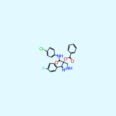 O=C(OC1(C(=O)Nc2ccc(Cl)cc2)CNN=C1c1ccc(F)cc1)c1ccccc1